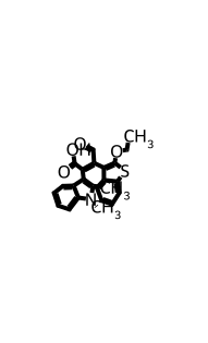 CCOc1sc2ccccc2c1/C(C=O)=C(/C(=O)O)c1c(C)n(C)c2ccccc12